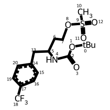 CC(C)(C)OC(=O)NC(CCOS(C)(=O)=O)Cc1ccc(C(F)(F)F)cc1